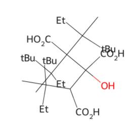 CCC(C)(C(C(=O)O)C(O)(C(=O)O)C(C(=O)O)(C(C)(CC)C(C)(C)C)C(C)(CC)C(C)(C)C)C(C)(C)C